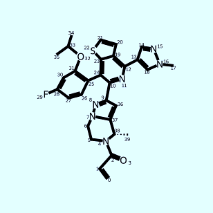 C=CC(=O)N1CCn2nc(-c3nc(-c4cnn(C)c4)c4ccsc4c3-c3ccc(F)cc3OC(C)C)cc2[C@@H]1C